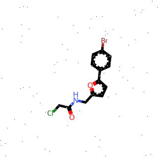 O=C(CCl)NCc1ccc(-c2ccc(Br)cc2)o1